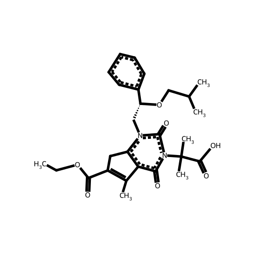 CCOC(=O)C1=C(C)c2c(n(C[C@@H](OCC(C)C)c3ccccc3)c(=O)n(C(C)(C)C(=O)O)c2=O)C1